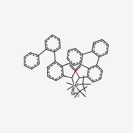 C[C](C)(C)[Hf]([CH3])([CH3])(=[SiH2])([CH]1C=Cc2c(-c3ccccc3-c3ccccc3)cccc21)([CH]1C=Cc2c(-c3ccccc3-c3ccccc3)cccc21)[C](C)(C)C